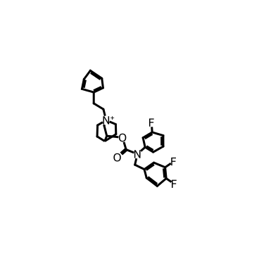 O=C(OC1C[N+]2(CCc3ccccc3)CCC1CC2)N(Cc1ccc(F)c(F)c1)c1cccc(F)c1